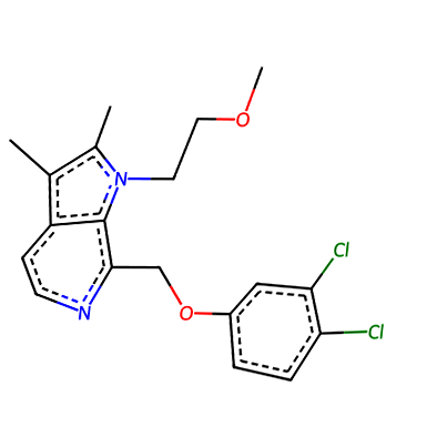 COCCn1c(C)c(C)c2ccnc(COc3ccc(Cl)c(Cl)c3)c21